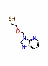 SCCOCn1cnc2cccnc21